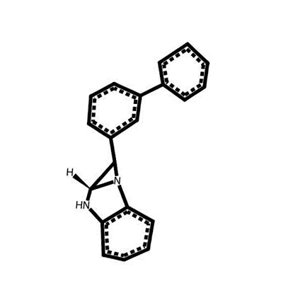 c1ccc(-c2cccc(C3[C@H]4Nc5ccccc5N34)c2)cc1